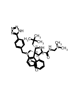 CN(C)CNC(=O)[C@@H]1N[C@@H](CC(C)(C)C)[C@@]2(CN(Cc3ccc(-c4nnn[nH]4)cc3)c3ccc(Cl)cc32)[C@H]1c1ccccc1Cl